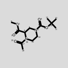 COC(=O)C1CN(C(=O)OC(C)(C)C)CCN1C(C)=O